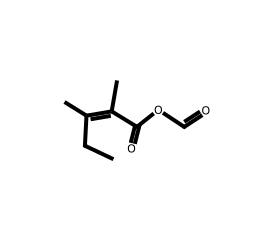 CCC(C)=C(C)C(=O)OC=O